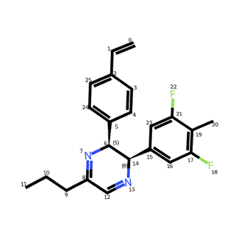 C=Cc1ccc([C@@H]2N=C(CCC)C=N[C@@H]2c2cc(F)c(C)c(F)c2)cc1